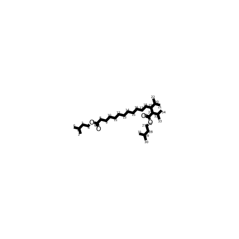 CC(C)CCOC(=O)CCCCCCCCCCCC(C(C)C)C(C(=O)OCCC(C)C)C(C)C